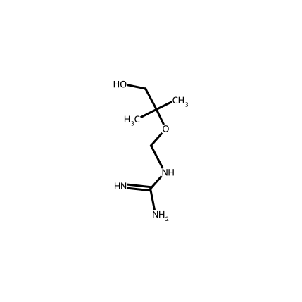 CC(C)(CO)OCNC(=N)N